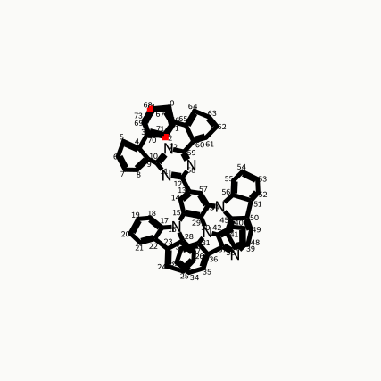 c1ccc(-c2ccccc2-c2nc(-c3cc(-n4c5ccccc5c5ccccc54)c(-n4c5ccccc5c5ncccc54)c(-n4c5ccccc5c5ccccc54)c3)nc(-c3ccccc3-c3ccccc3)n2)cc1